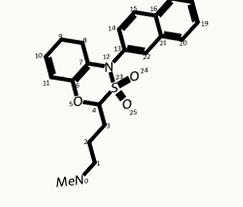 CNCCCC1OC2=C(CCC=C2)N(c2ccc3ccccc3c2)S1(=O)=O